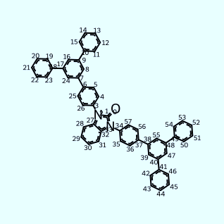 O=c1n(-c2ccc(-c3cc(-c4ccccc4)cc(-c4ccccc4)c3)cc2)c2ccccc2n1-c1ccc(-c2cc(-c3ccccc3)cc(-c3ccccc3)c2)cc1